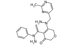 Cc1nccc(CN(N)C2=C(C(=S)N(N)c3ccccc3)C(=O)COC2)n1